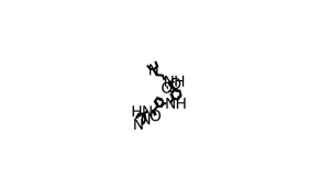 CCN(CC)CCCNS(=O)(=O)c1cccc(Nc2cccc(C(=O)Nc3ccncn3)c2)c1